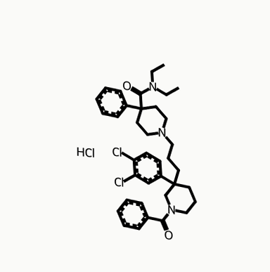 CCN(CC)C(=O)C1(c2ccccc2)CCN(CCCC2(c3ccc(Cl)c(Cl)c3)CCCN(C(=O)c3ccccc3)C2)CC1.Cl